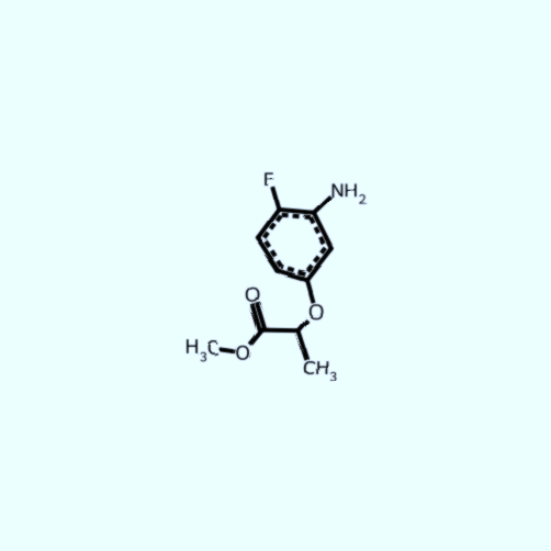 COC(=O)C(C)Oc1ccc(F)c(N)c1